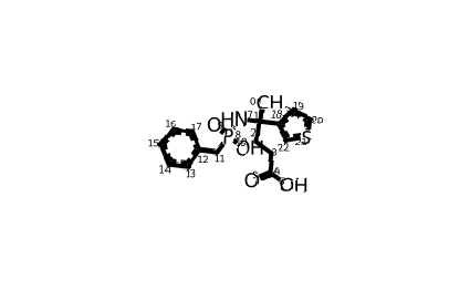 CC(CCC(=O)O)(NP(=O)(O)Cc1ccccc1)c1ccsc1